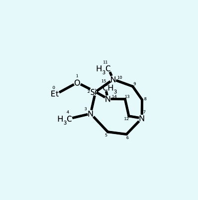 CCO[Si]12N(C)CCN(CCN1C)CCN2C